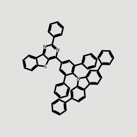 c1ccc(-c2ccc3c4ccc(-c5ccccc5)cc4n(-c4c(-c5ccccc5)cc(-c5nc(-c6ccccc6)nc6c5sc5ccccc56)cc4-c4ccccc4)c3c2)cc1